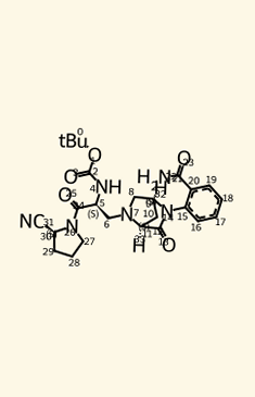 CC(C)(C)OC(=O)N[C@@H](CN1C[C@@H]2C[C@H]1C(=O)N2c1ccccc1C(N)=O)C(=O)N1CCC[C@H]1C#N